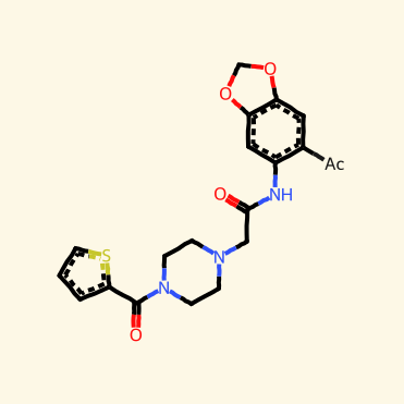 CC(=O)c1cc2c(cc1NC(=O)CN1CCN(C(=O)c3cccs3)CC1)OCO2